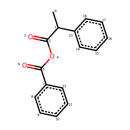 CC(C(=O)OC(=O)c1ccccc1)c1ccccc1